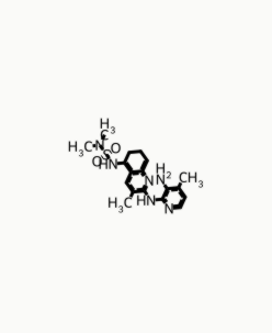 Cc1cc2c(nc1Nc1nccc(C)c1N)=CCCC=2NS(=O)(=O)N(C)C